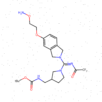 CC(C)(C)OC(=O)NCC1CCN(/C(=N\C(=O)C(F)(F)F)N2Cc3ccc(OCCON)cc3C2)C1